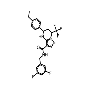 CCc1ccc(C2CC(C(F)(F)F)n3ncc(C(=O)NCc4cc(F)cc(F)c4)c3N2)cc1